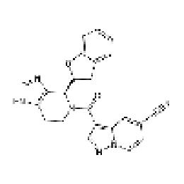 N#Cc1ccn2ncc(C(=O)N3CCc4[nH]cnc4[C@H]3c3cc4ccccc4o3)c2c1